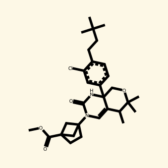 COC(=O)C12CCC(N3C=C4C(C)C(C)(C)OCC4(c4ccc(CCC(C)(C)C)c(Cl)c4)NC3=O)(C1)C2